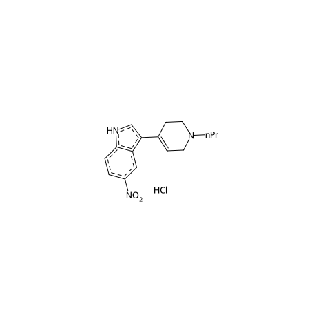 CCCN1CC=C(c2c[nH]c3ccc([N+](=O)[O-])cc23)CC1.Cl